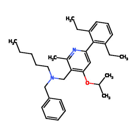 CCCCCN(Cc1ccccc1)Cc1c(OC(C)C)cc(-c2c(CC)cccc2CC)nc1C